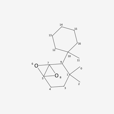 CC1(C)CCC23OC2(O3)C1C1(C)CCCCC1